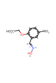 O=C(O)COc1ccc([N+](=O)[O-])cc1/C=N/O